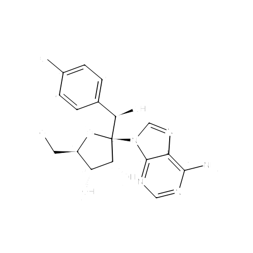 C[C@H](c1ccc(Cl)cc1)[C@@]1(n2cnc3c(N)ncnc32)O[C@H](CO)[C@@H](O)[C@H]1O